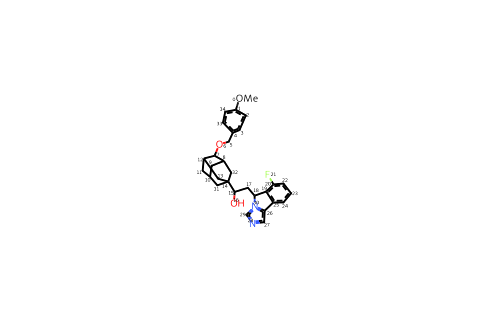 COc1ccc(COC2C3CC4CC2CC(C(O)CC2c5c(F)cccc5-c5cncn52)(C4)C3)cc1